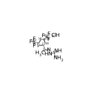 CC(=NNC(=N)N)c1cc(C(F)(F)F)cc(C(F)(F)F)c1.Cl